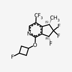 C[C@H]1c2c(C(F)(F)F)cnc(OC3CC(F)C3)c2[C@@H](F)C1(F)F